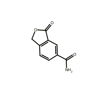 NC(=O)c1ccc2c(c1)C(=O)OC2